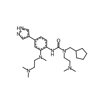 CN(C)CCN(CC1CCCC1)C(=O)Nc1ccc(-c2cn[nH]c2)cc1N(C)CCN(C)C